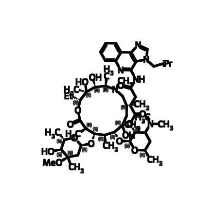 CC[C@H]1OC(=O)[C@H](C)[C@@H](O[C@H]2C[C@@](C)(OC)[C@@H](O)[C@H](C)O2)[C@H](C)[C@@H](O[C@@H]2O[C@H](C)CC(N(C)C)[C@H]2OC(=O)CCC(=O)Nc2nc3ccccc3c3ncn(CC(C)C)c23)[C@](C)(O)C[C@@H](C)CN(C)[C@H](C)[C@@H](O)[C@]1(C)O